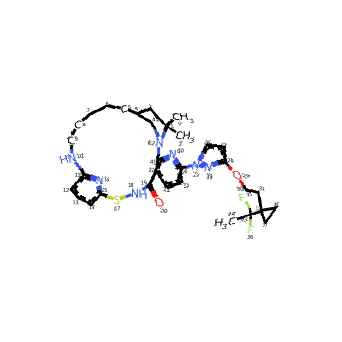 CC1(C)CC2CCCCCNc3cccc(n3)SNC(=O)c3ccc(-n4ccc(OCCC5(C(C)(F)F)CC5)n4)nc3N1C2